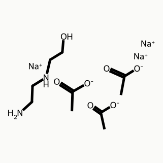 CC(=O)[O-].CC(=O)[O-].CC(=O)[O-].NCCNCCO.[Na+].[Na+].[Na+]